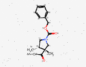 COC(=O)[C@@]1(C)CN(C(=O)OCc2ccccc2)C[C@H]1C